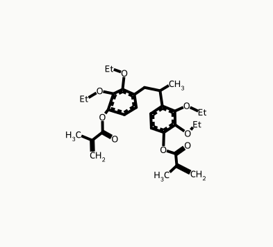 C=C(C)C(=O)Oc1ccc(CC(C)c2ccc(OC(=O)C(=C)C)c(OCC)c2OCC)c(OCC)c1OCC